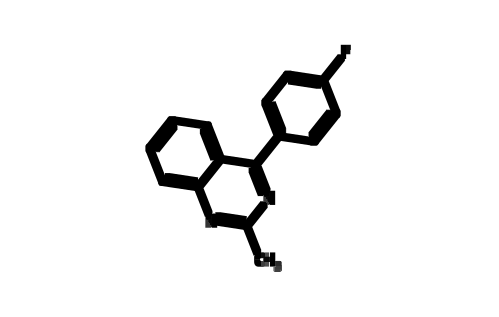 Cc1nc(-c2ccc(F)cc2)c2ccccc2n1